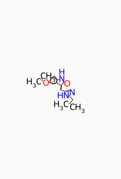 CC(C)Cc1ncc(/C=C2\C(=O)Nc3ccc(OC(C)C)cc32)[nH]1